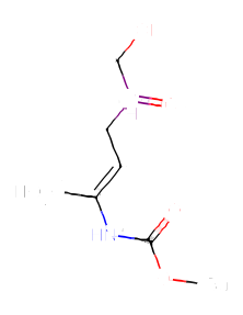 CC(C)(C)OC(=O)NC(=CC[PH](=O)CO)C(=O)O